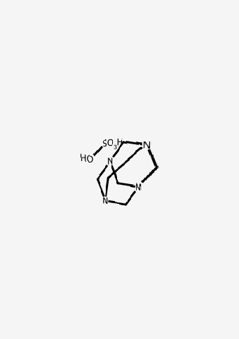 C1N2CN3CN1CN(C2)C3.O=S(=O)(O)O